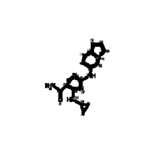 NC(=O)c1cnc(Nc2ccc3nccn3c2)nc1NC1CC1